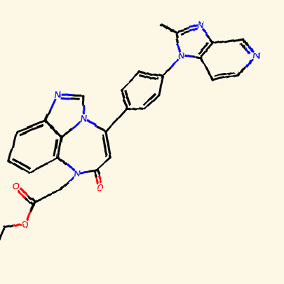 CCOC(=O)CN1C(=O)C=C(c2ccc(-n3c(C)nc4cnccc43)cc2)n2cnc3cccc1c32